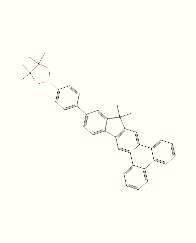 CC1(C)c2cc(-c3ccc(B4OC(C)(C)C(C)(C)O4)cc3)ccc2-c2cc3c4ccccc4c4ccccc4c3cc21